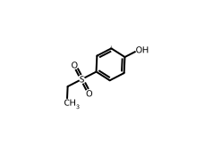 CCS(=O)(=O)c1c[c]c(O)cc1